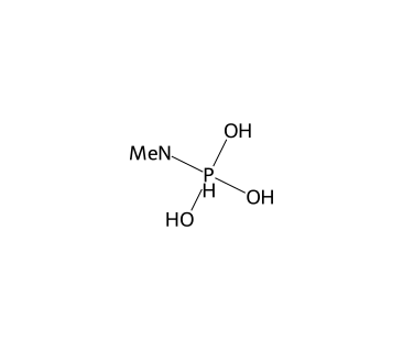 CN[PH](O)(O)O